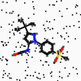 CC(C)(C)c1cc(N=C=O)n(-c2ccc(S(C)(=O)=O)cc2)n1